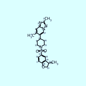 Cc1nc2cc(C)c(C3CCN(S(=O)(=O)c4ccc5c(c4)C(C)CO5)CC3)cn2n1